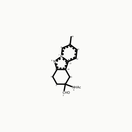 CC(=O)NC1(C=O)CCc2nn3cc(C)ccc3c2C1